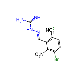 Cl.N=C(N)N/N=C/c1c([N+](=O)[O-])ccc(Br)c1[N+](=O)[O-]